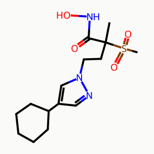 CC(CCn1cc(C2CCCCC2)cn1)(C(=O)NO)S(C)(=O)=O